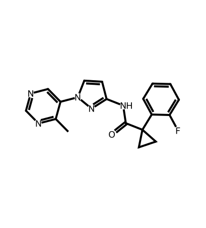 Cc1ncncc1-n1ccc(NC(=O)C2(c3ccccc3F)CC2)n1